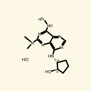 CCCNc1nc(N(C)C)nc2c(N[C@@H]3CCC[C@H]3O)ncnc12.Cl